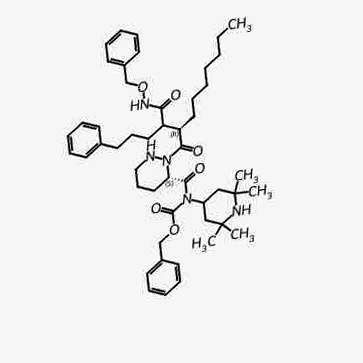 CCCCCCC[C@@H](C(=O)N1NCCC[C@H]1C(=O)N(C(=O)OCc1ccccc1)C1CC(C)(C)NC(C)(C)C1)C(CCCc1ccccc1)C(=O)NOCc1ccccc1